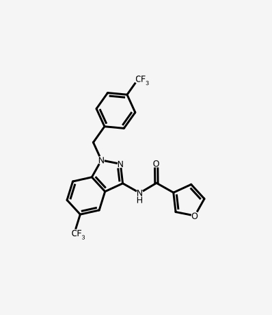 O=C(Nc1nn(Cc2ccc(C(F)(F)F)cc2)c2ccc(C(F)(F)F)cc12)c1ccoc1